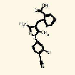 Cc1nn(-c2ccc(C#N)c(Cl)c2)c(C)c1Cc1ccccc1C(=O)O